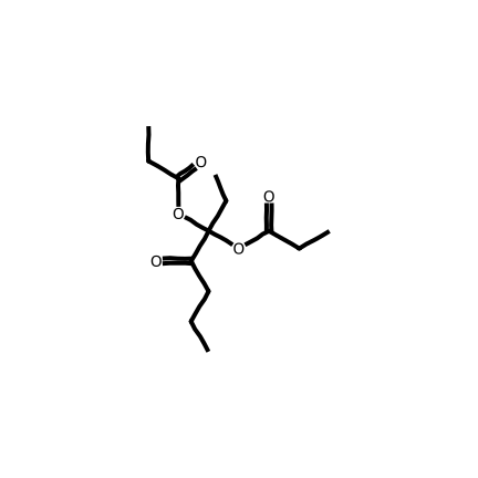 CCCC(=O)C(CC)(OC(=O)CC)OC(=O)CC